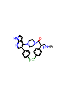 CC(C)NCC(C(=O)N1CCN(c2c(-c3ccc(F)cc3)cnc3[nH]ccc23)CC1)c1ccc(Cl)cc1